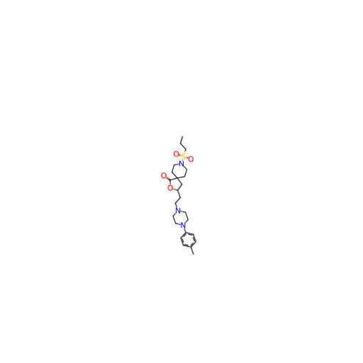 CCCS(=O)(=O)N1CCC2(CC1)CC(CCN1CCN(c3ccc(C)cc3)CC1)OC2=O